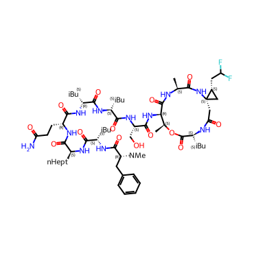 CCCCCCC[C@H](NC(=O)[C@@H](NC(=O)[C@@H](Cc1ccccc1)NC)[C@@H](C)CC)C(=O)N[C@H](CCC(N)=O)C(=O)N[C@@H](C(=O)N[C@H](C(=O)N[C@@H](CO)C(=O)N[C@H]1C(=O)N[C@@H](C)C(=O)N[C@]2(CC(=O)N[C@@H]([C@@H](C)CC)C(=O)O[C@H]1C)C[C@H]2CC(F)F)[C@@H](C)CC)[C@@H](C)CC